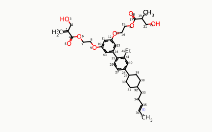 C=C(CO)C(=O)OCCOc1cc(OCCOC(=O)C(C)CO)cc(-c2ccc(C3CCC(CC/C=C/C)CC3)cc2CC)c1